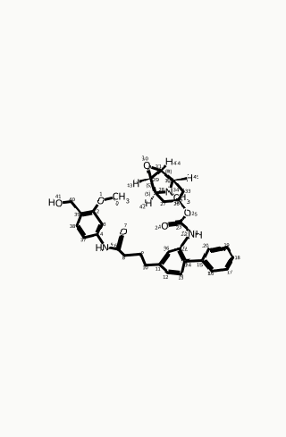 COc1cc(NC(=O)CCCc2ccc(-c3ccccc3)c(NC(=O)O[C@H]3C[C@H]4[C@@H]5O[C@@H]5[C@H](C3)N4C)c2)ccc1CO